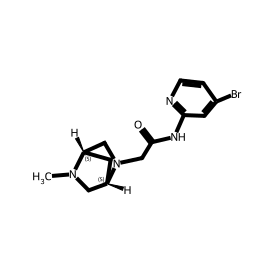 CN1C[C@@H]2C[C@H]1CN2CC(=O)Nc1cc(Br)ccn1